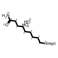 CCCCCCCCCCCCCCCC(N)=O.Cl.Cl